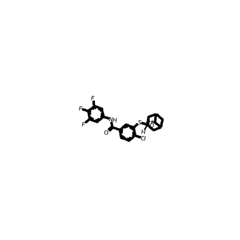 O=C(Nc1cc(F)c(F)c(F)c1)c1ccc(Cl)c(S[C@H]2CC3CC(C2)[C@@H]3O)c1